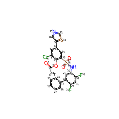 CC(C)C(=O)Oc1c(Cl)cc(-c2cncs2)cc1S(=O)(=O)Nc1cc(-c2ccccc2)c(F)cc1F